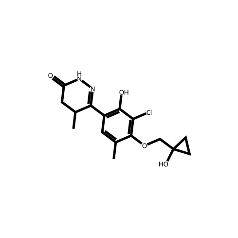 Cc1cc(C2=NNC(=O)CC2C)c(O)c(Cl)c1OCC1(O)CC1